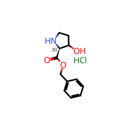 Cl.O=C(OCc1ccccc1)[C@H]1NCCC1O